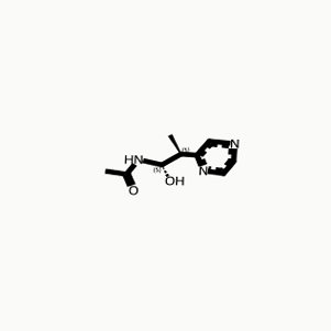 CC(=O)N[C@@H](O)[C@@H](C)c1cnccn1